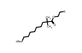 CCCCCCCCCCCCCCCCC(C)(C)C(=O)OCC[S]